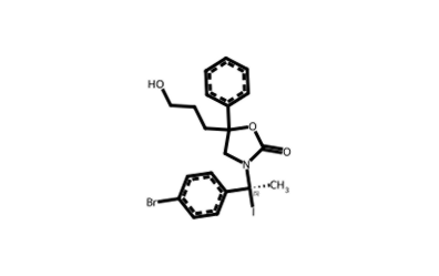 C[C@](I)(c1ccc(Br)cc1)N1CC(CCCO)(c2ccccc2)OC1=O